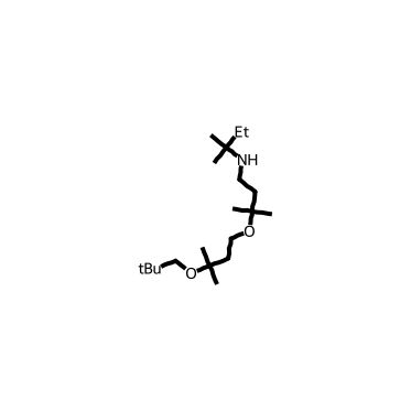 CCC(C)(C)NCCC(C)(C)OCCC(C)(C)OCC(C)(C)C